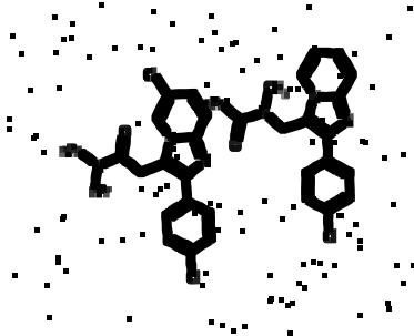 CCCC(=O)N(C)Cc1c(-c2ccc(Cl)cc2)nc2ccccn12.CCCN(CCC)C(=O)Cc1c(-c2ccc(Cl)cc2)nc2ccc(Cl)cn12